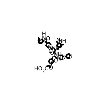 Cc1cc(C[C@@H](NC(=O)N2CCC(n3c(=O)[nH]c4ncccc43)CC2)C(=O)N[C@H](CC2CCN(C(=O)CC(=O)O)CC2)C(=O)N2CCN(c3ccncc3)CC2)cc2cn[nH]c12